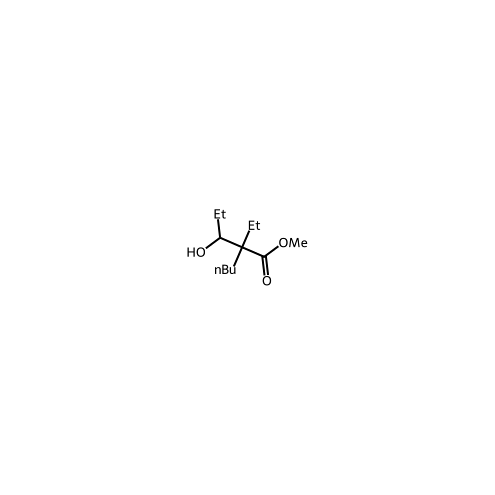 CCCCC(CC)(C(=O)OC)C(O)CC